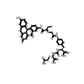 CC/C(=N\CC(=O)Nc1ccc(C[C@H](NC(=O)N[C@@H](CCC(=O)O)C(=O)O)C(=O)O)cc1)C(=O)Nc1ccc(C2c3ccc(O)cc3CC3=CC(=O)C=CC32)c(C(=O)O)c1